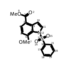 COC(=O)c1ccc(OC)c2c1ccn2S(=O)(=O)c1ccccc1